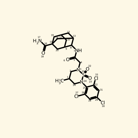 CC1CN(CC(=O)NC2C3CC4CC2CC(C(N)=O)(C4)C3)S(=O)(=O)N(c2c(Cl)cc(Cl)cc2Cl)C1